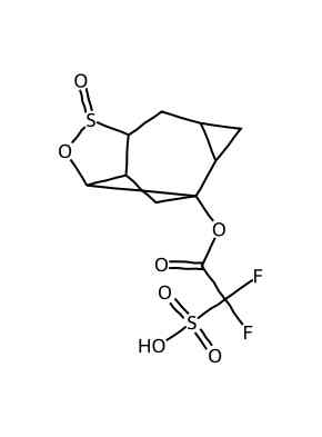 O=C(OC12CC3C(CC4CC41)S(=O)OC32)C(F)(F)S(=O)(=O)O